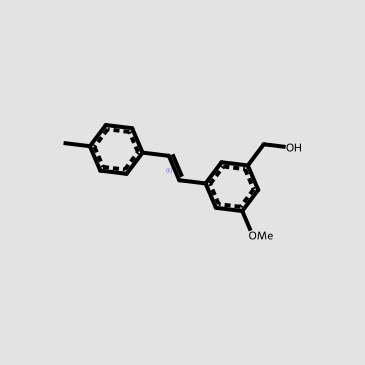 COc1cc(/C=C/c2ccc(C)cc2)cc(CO)c1